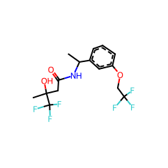 CC(NC(=O)CC(C)(O)C(F)(F)F)c1cccc(OCC(F)(F)F)c1